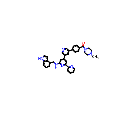 CN1CCN(C(=O)c2ccc(-c3cncc(-c4cc(NCc5cccc6[nH]ccc56)nc(-c5ccccn5)c4)c3)cc2)CC1